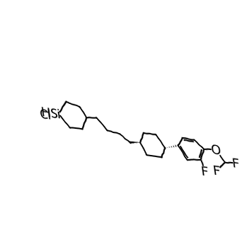 Fc1cc([C@H]2CC[C@H](CCCCC3CC[SiH](Cl)CC3)CC2)ccc1OC(F)F